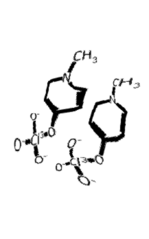 CN1C=CC(O[Cl+3]([O-])([O-])[O-])=CC1.CN1C=CC(O[Cl+3]([O-])([O-])[O-])=CC1